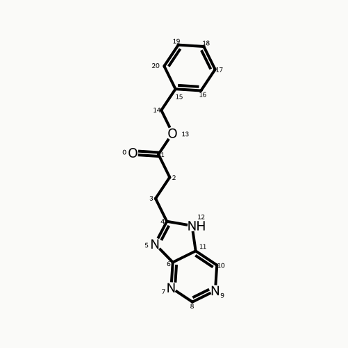 O=C(CCc1nc2ncncc2[nH]1)OCc1ccccc1